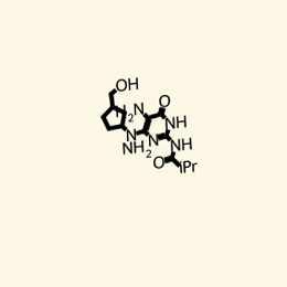 CC(C)C(=O)Nc1nc(N(N)C2CCC(CO)C2)c(N)c(=O)[nH]1